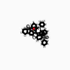 O=P(c1ccccc1)(c1ccccc1)c1ccc2c(c1)C1(c3cc(P(=O)(c4ccccc4)c4ccccc4)ccc3O2)c2cc(Br)ccc2N(c2ccccc2)c2ccc(Br)cc21